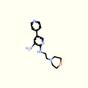 Nc1cc(-c2ccncc2)cnc1NCCN1CCOCC1